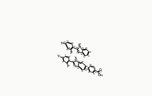 Cn1c(-c2ccc(F)cc2F)nc2ccccc21.Cn1c(-c2ccc(F)cc2F)nc2ccccc21.O=C(O)c1ccccn1